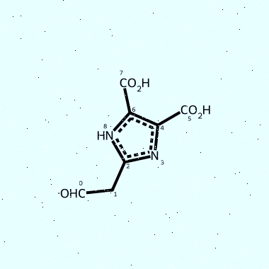 O=[C]Cc1nc(C(=O)O)c(C(=O)O)[nH]1